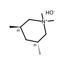 C[C@@H]1C[C@@H](C)C[N+](C)(C)C1.[OH-]